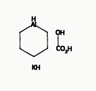 C1C[CH2][AlH][CH2]C1.O=C(O)O.[KH]